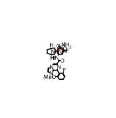 COc1cccc(F)c1-c1nc(C(=O)Nc2cc(F)ccc2N2[C@@H]3CC[C@H]2CC(NS(N)(=O)=O)C3)cn2ccnc12